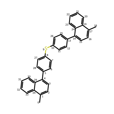 Cc1ccc(-c2ccc(Sc3ccc(-c4ccc(C)c5ccccc45)cc3)cc2)c2ccccc12